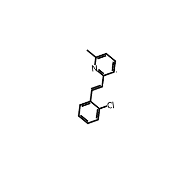 Cc1cc[c]c(/C=C/c2ccccc2Cl)n1